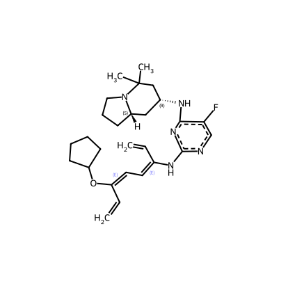 C=C/C(=C\C=C(/C=C)OC1CCCC1)Nc1ncc(F)c(N[C@@H]2C[C@@H]3CCCN3C(C)(C)C2)n1